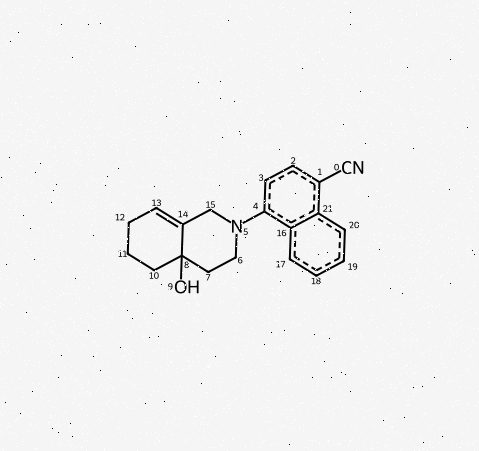 N#Cc1ccc(N2CCC3(O)CCCC=C3C2)c2ccccc12